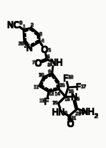 N#Cc1ccc(OC(=O)Nc2ccc(F)c(C3(C(F)F)CNC(=O)C(N)=N3)c2)nc1